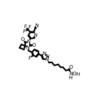 N#Cc1ncc(N2C(=O)N(Cc3ccc(-c4cn(CCCCCCCC(=O)NO)nn4)cc3F)C3(CCC3)C2=O)cc1C(F)(F)F